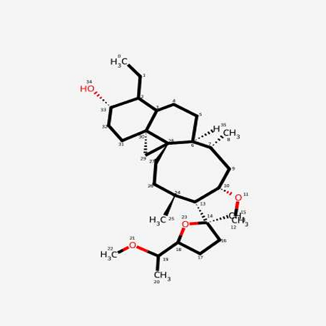 CCC1C2CC[C@H]3[C@H](C)C[C@H](OC)[C@H]([C@@]4(C)CCC(C(C)OC)O4)[C@@H](C)CC[C@]34C[C@]24CC[C@@H]1O